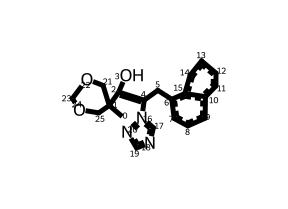 CC1(C(O)=C(Cc2cccc3ccccc23)n2cncn2)COCOC1